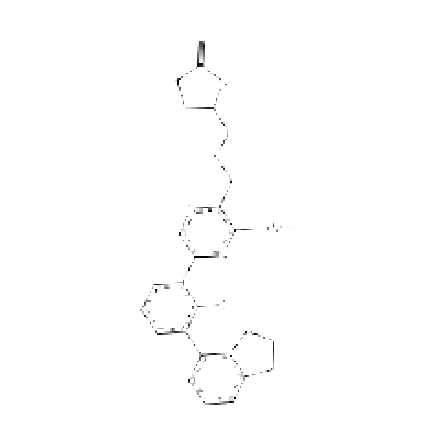 COc1nc(-c2cccc(-c3cccc4c3CCC4)c2Cl)cnc1CNCC1CCC(=O)N1